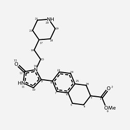 COC(=O)C1CCc2cc(-c3c[nH]c(=O)n3CCC3CCNCC3)ccc2C1